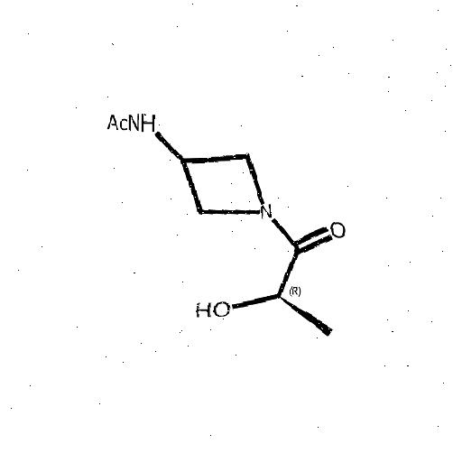 CC(=O)NC1CN(C(=O)[C@@H](C)O)C1